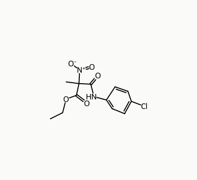 CCOC(=O)C(C)(C(=O)Nc1ccc(Cl)cc1)[N+](=O)[O-]